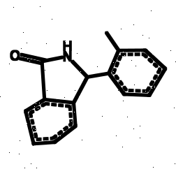 Cc1ccccc1C1NC(=O)c2ccccc21